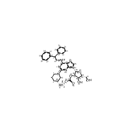 N[C@@H]1CCCN(c2nc(NCC(c3ccccc3)c3ccccc3)c3ncn([C@@H]4O[C@H](CO)[C@@H](O)[C@H]4OC(=O)C(F)(F)F)c3n2)C1